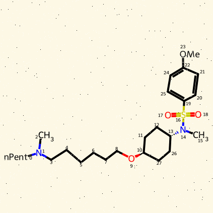 CCCCCN(C)CCCCCCO[C@H]1CC[C@H](N(C)S(=O)(=O)c2ccc(OC)cc2)CC1